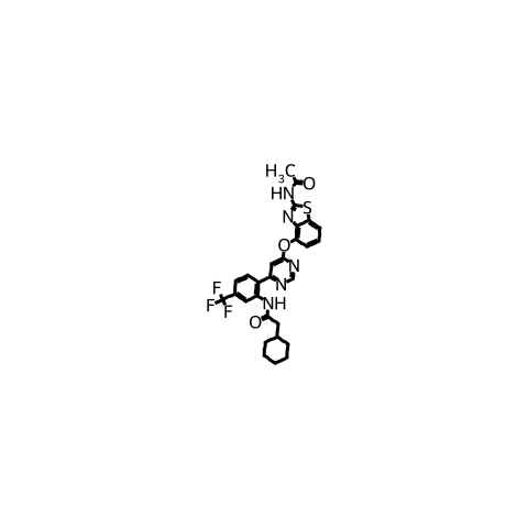 CC(=O)Nc1nc2c(Oc3cc(-c4ccc(C(F)(F)F)cc4NC(=O)CC4CCCCC4)ncn3)cccc2s1